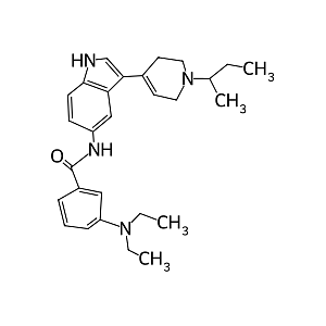 CCC(C)N1CC=C(c2c[nH]c3ccc(NC(=O)c4cccc(N(CC)CC)c4)cc23)CC1